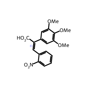 COc1cc(/C(=C\c2ccccc2[N+](=O)[O-])C(=O)O)cc(OC)c1OC